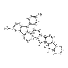 CC1(C)c2ccccc2-c2ccc3c(sc4ccc(-c5cc(C#N)ccc5C5c6ccccc6-c6cc(C#N)ccc65)cc43)c21